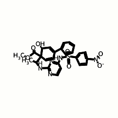 COC(=O)C1(C(C)Nc2nccc(NS(=O)(=O)c3ccc([N+](=O)[O-])cc3)n2)C=CC(c2ccccc2)=C[C@@H]1O